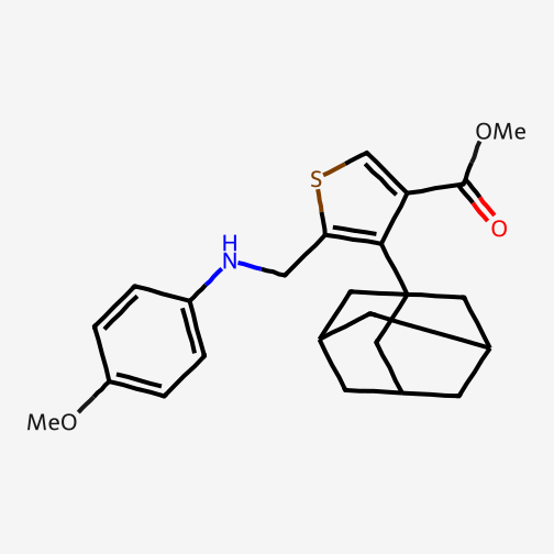 COC(=O)c1csc(CNc2ccc(OC)cc2)c1C12CC3CC(CC(C3)C1)C2